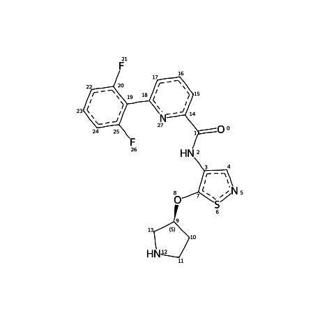 O=C(Nc1cnsc1O[C@H]1CCNC1)c1cccc(-c2c(F)cccc2F)n1